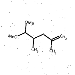 C=C(C)[CH]C(C)C(OC)OC